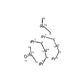 CC(C)[CH2][Al+][CH2]C(C)C.CC(C)[CH2][Al+][CH2]C(C)C.[CH3][Al][CH3].[CH3][Al][CH3].[O-2]